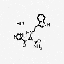 Cl.NC(=O)[C@H]1C(NCCc2c[nH]c3ccccc23)[C@H]1C(=O)c1cnc[nH]1